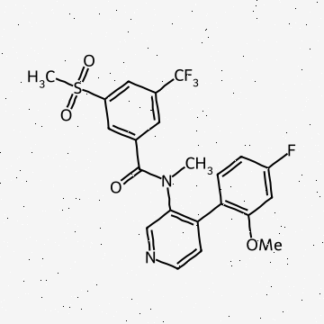 COc1cc(F)ccc1-c1ccncc1N(C)C(=O)c1cc(C(F)(F)F)cc(S(C)(=O)=O)c1